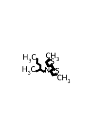 CCCCC(CC)Cn1c2cc(C)sc2c2sc(C)cc21